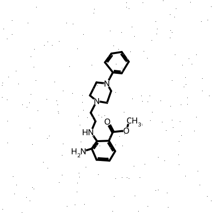 COC(=O)c1cccc(N)c1NCCN1CCN(c2ccccc2)CC1